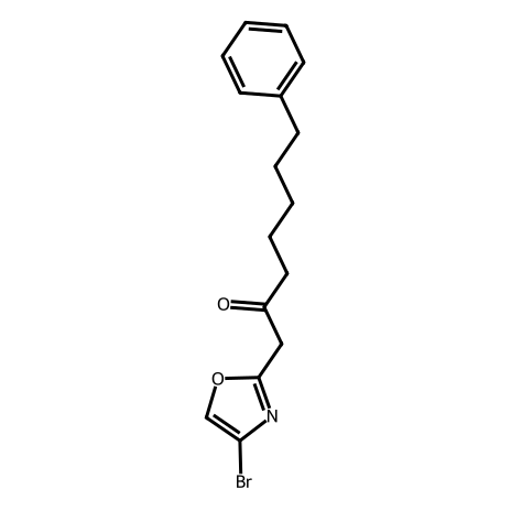 O=C(CCCCCc1ccccc1)Cc1nc(Br)co1